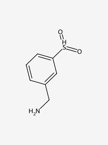 NCc1cccc([SH](=O)=O)c1